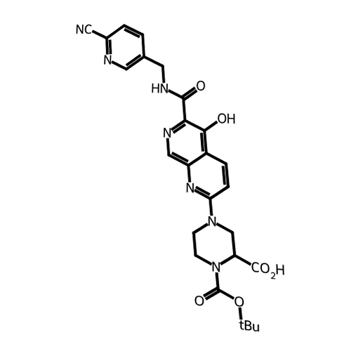 CC(C)(C)OC(=O)N1CCN(c2ccc3c(O)c(C(=O)NCc4ccc(C#N)nc4)ncc3n2)CC1C(=O)O